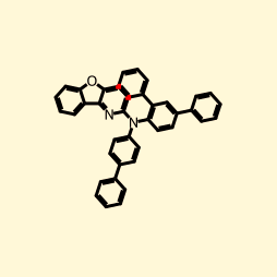 c1ccc(-c2ccc(N(c3ccc4oc5ccccc5c4n3)c3ccc(-c4ccccc4)cc3-c3ccccc3)cc2)cc1